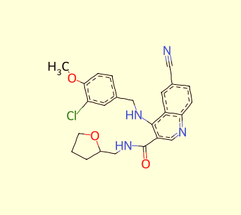 COc1ccc(CNc2c(C(=O)NCC3CCCO3)cnc3ccc(C#N)cc23)cc1Cl